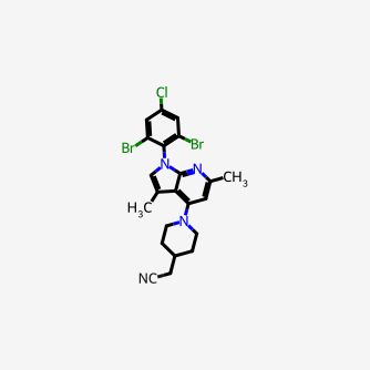 Cc1cc(N2CCC(CC#N)CC2)c2c(C)cn(-c3c(Br)cc(Cl)cc3Br)c2n1